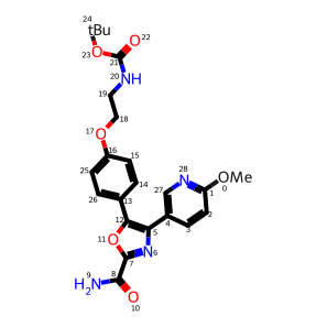 COc1ccc(-c2nc(C(N)=O)oc2-c2ccc(OCCNC(=O)OC(C)(C)C)cc2)cn1